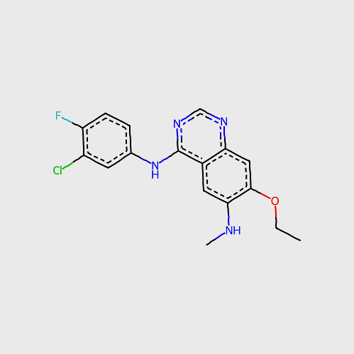 CCOc1cc2ncnc(Nc3ccc(F)c(Cl)c3)c2cc1NC